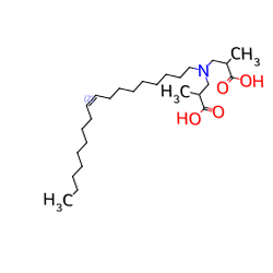 CCCCCCCC/C=C\CCCCCCCCN(CC(C)C(=O)O)CC(C)C(=O)O